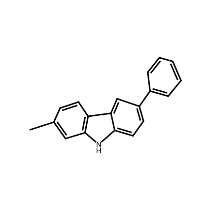 Cc1ccc2c(c1)[nH]c1ccc(-c3ccccc3)cc12